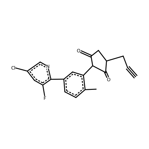 C#CCC1CC(=O)C(c2cc(-c3ncc(Cl)cc3F)ccc2C)C1=O